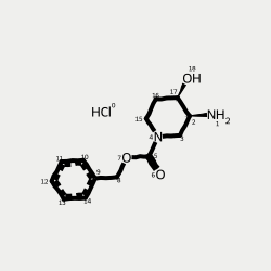 Cl.N[C@H]1CN(C(=O)OCc2ccccc2)CC[C@H]1O